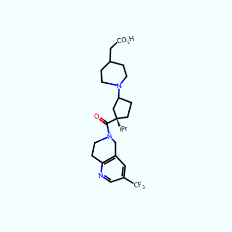 CC(C)[C@]1(C(=O)N2CCc3ncc(C(F)(F)F)cc3C2)CCC(N2CCC(CC(=O)O)CC2)C1